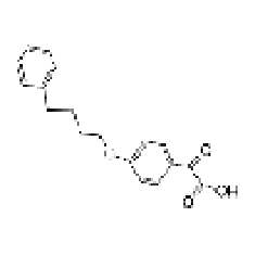 O=C(O)C(=O)c1ccc(OCCCCc2ccccc2)cc1